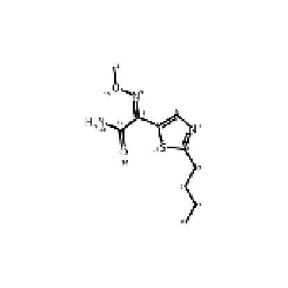 CCCCc1ncc(/C(=N/OC)C(N)=O)s1